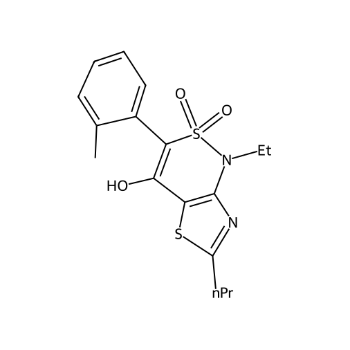 CCCc1nc2c(s1)C(O)=C(c1ccccc1C)S(=O)(=O)N2CC